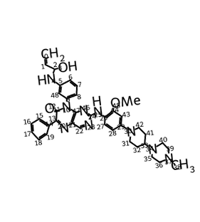 C=CC(O)Nc1cccc(-n2c(=O)c(-c3ccccc3)nc3cnc(Nc4ccc(N5CCC(N6CCN(C)CC6)CC5)cc4OC)nc32)c1